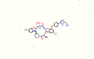 CC(C)C1CC(=O)N(Cc2ccc(Cl)cc2Oc2ccc(-c3cnc(CN(C)C)n3C)cc2)[C@@H](C)C(=O)N[C@@H](CO)C(=O)N[C@@]2(Cc3ccc(Cl)cc3)CCCN(C2)C1=O